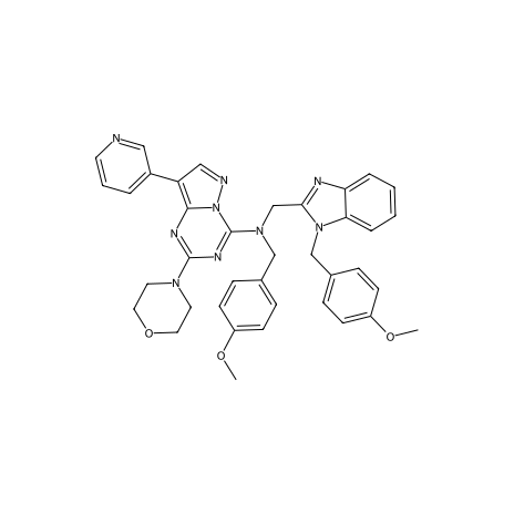 COc1ccc(CN(Cc2nc3ccccc3n2Cc2ccc(OC)cc2)c2nc(N3CCOCC3)nc3c(-c4cccnc4)cnn23)cc1